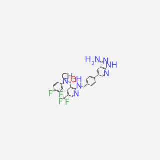 CN(C(=O)c1cc(C(F)(F)F)cnc1NCc1ccc(-c2cnc3[nH]nc(N)c3c2)cc1)c1ccc(F)cc1